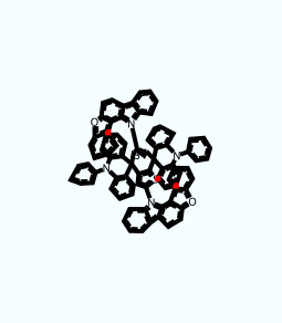 c1ccc(N2c3ccccc3C3(c4ccccc42)c2cc(-n4c5ccccc5c5ccc6oc7ccccc7c6c54)sc2C2(c4ccccc4N(c4ccccc4)c4ccccc42)c2cc(-n4c5ccccc5c5ccc6oc7ccccc7c6c54)sc23)cc1